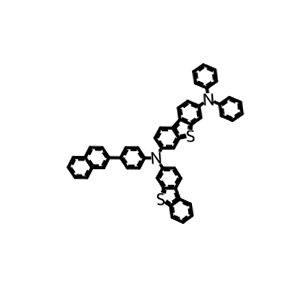 c1ccc(N(c2ccccc2)c2ccc3c(c2)sc2cc(N(c4ccc(-c5ccc6ccccc6c5)cc4)c4ccc5c(c4)sc4ccccc45)ccc23)cc1